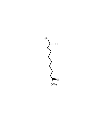 CCCC(O)CCCCCCCC(=O)OC